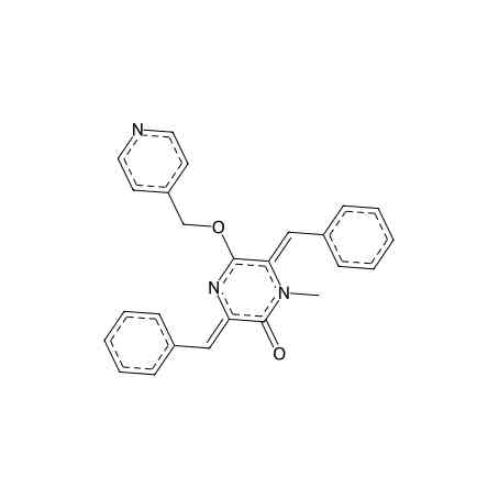 Cn1c(=O)/c(=C/c2ccccc2)nc(OCc2ccncc2)/c1=C/c1ccccc1